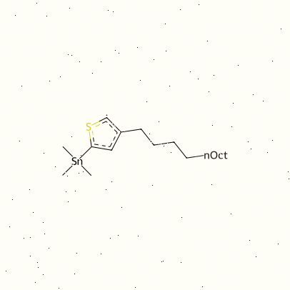 CCCCCCCCCCCCc1[c]s[c]([Sn]([CH3])([CH3])[CH3])c1